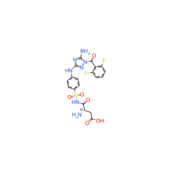 Nc1nc(Nc2ccc(S(=O)(=O)NC(=O)[C@@H](N)CC(=O)O)cc2)nn1C(=O)c1c(F)cccc1F